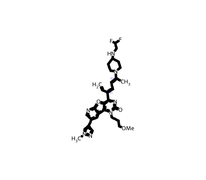 C=C/C(=C\C=C(/C)N1CCC(NCC(F)F)CC1)c1nc(=O)n(CCCOC)c2c1oc1ncc(-c3cnn(C)c3)cc12